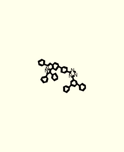 c1ccc(-c2cc(-c3ccccc3)cc(-c3ncnc(-c4ccc(-c5ccc6cc(-c7ccccc7)n7nc(-c8ccccc8)c(-c8ccccc8)c7c6c5)cc4)n3)c2)cc1